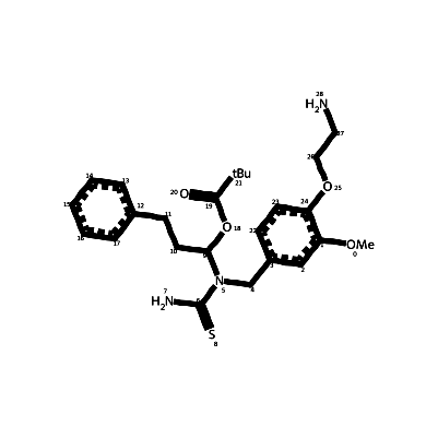 COc1cc(CN(C(N)=S)C(CCc2ccccc2)OC(=O)C(C)(C)C)ccc1OCCN